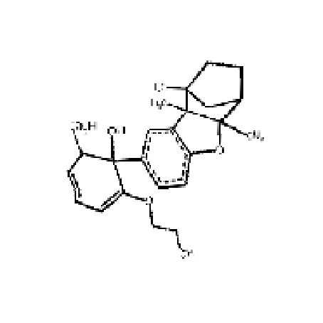 CC12CCC(C1)C1(C)Oc3ccc(C4(O)C(OCCO)=CC=CC4C(=O)O)cc3C21C